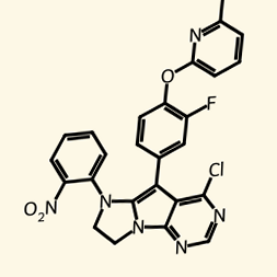 Cc1cccc(Oc2ccc(-c3c4n(c5ncnc(Cl)c35)CCN4c3ccccc3[N+](=O)[O-])cc2F)n1